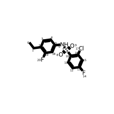 CCc1ccc(NS(=O)(=O)c2ccc(F)cc2Cl)cc1F